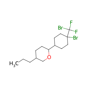 CCCC1CCC(C2CCC(Br)(C(F)(F)Br)CC2)OC1